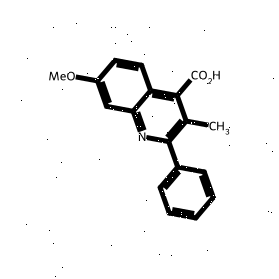 COc1ccc2c(C(=O)O)c(C)c(-c3ccccc3)nc2c1